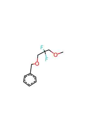 COCC(F)(F)COCc1ccccc1